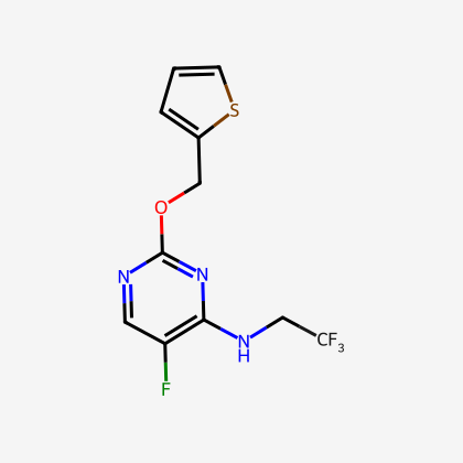 Fc1cnc(OCc2cccs2)nc1NCC(F)(F)F